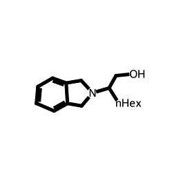 CCCCCCC(CO)N1Cc2ccccc2C1